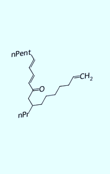 C=CCCCCCC(CCC)CC(=O)C=CC=CCCCCC